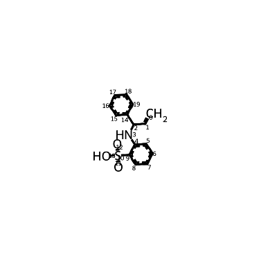 C=CC(Nc1ccccc1S(=O)(=O)O)c1ccccc1